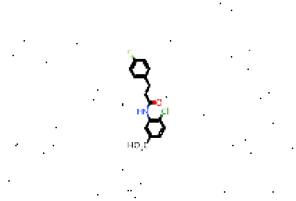 O=C(CCc1ccc(F)cc1)Nc1cc(C(=O)O)ccc1Cl